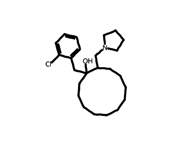 OC1(Cc2ccccc2Cl)CCCCCCCCCCC1CN1CCCC1